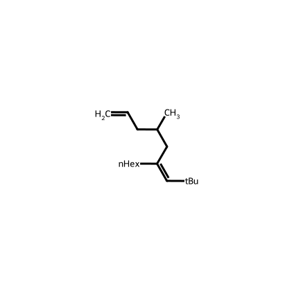 C=CCC(C)CC(=CC(C)(C)C)CCCCCC